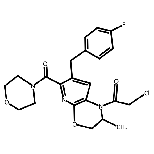 CC1COc2nc(C(=O)N3CCOCC3)c(Cc3ccc(F)cc3)cc2N1C(=O)CCl